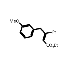 CCOC(=O)C=C(Cc1cccc(OC)c1)C(C)C